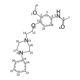 COc1cc(NC(C)=O)ccc1OCCN1CCN(c2ccccc2)CC1